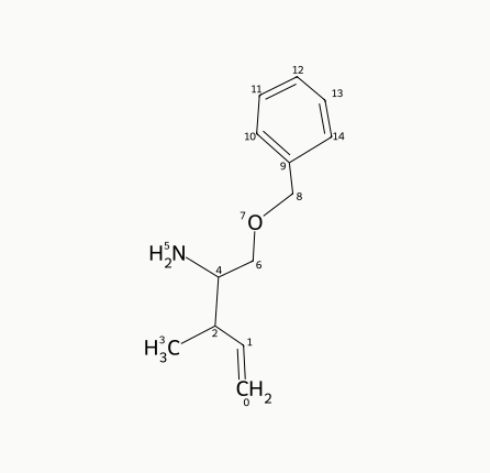 C=CC(C)C(N)COCc1ccccc1